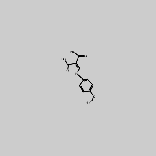 CSc1ccc(NC=C(C(=O)O)C(=O)O)cc1